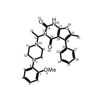 COc1ccccc1N1CCN(C(C)n2c(=O)[nH]c3sc(C)c(-c4ccccc4)c3c2=O)CC1